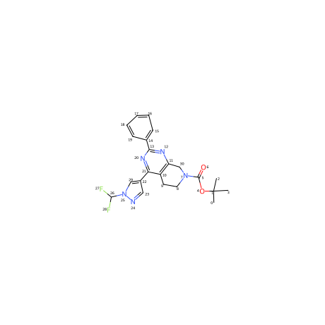 CC(C)(C)OC(=O)N1CCc2c(nc(-c3ccccc3)nc2-c2cnn(C(F)F)c2)C1